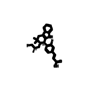 C[C@H](CF)CN1[C@H](c2ccc(C=CC(=O)O)cc2F)c2[nH]c3ccccc3c2CC1(C)C